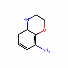 NC1=C2OCCNC2CC=C1